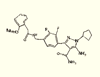 COc1ccccc1C(=O)NCc1ccc(-c2nn(C3CCCC3)c(N)c2C(N)=O)c(F)c1F